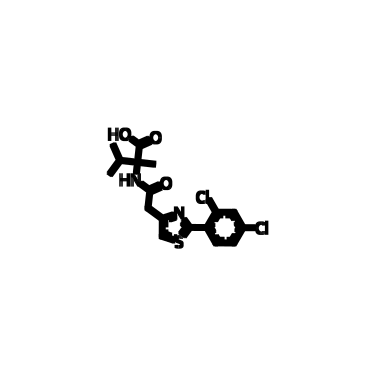 CC(C)C(C)(NC(=O)Cc1csc(-c2ccc(Cl)cc2Cl)n1)C(=O)O